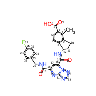 Cc1c(C(=O)O)ccc2c1CC[C@@H]2NC(=O)c1cc(C(=O)NCc2ccc(F)cc2)nc2ncnn12